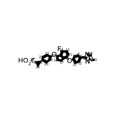 Cn1nnc(-c2ccc(Oc3ccc(F)c4c3CC[C@H]4Oc3ccc([C@H]4C[C@@H]4C(=O)O)cc3)cc2)n1